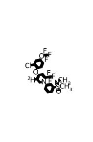 [2H]C1=C(Oc2ccc(OC(F)(F)F)cc2Cl)C=C(C(F)(F)F)N(c2cccc(S(C)(=O)=NC)c2)C1